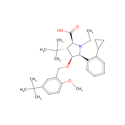 CCN1[C@H](C(=O)O)[C@@H](C(C)(C)C)[C@H](OCc2cc(C(C)(C)C)ccc2OC)[C@@H]1c1ccccc1C1CC1